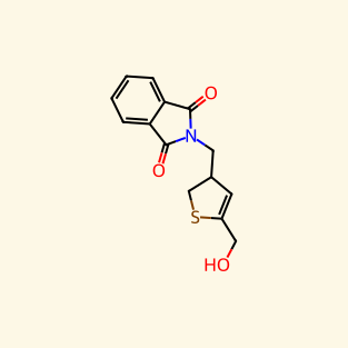 O=C1c2ccccc2C(=O)N1CC1C=C(CO)SC1